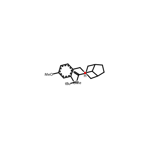 COc1ccc(CNC2C3CCC2CN(C(=O)OC(C)(C)C)C3)c(OC)c1